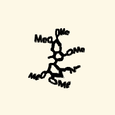 C/N=C/c1cc(OC)c(OC)cc1-c1cc(OC)c2cc(OC)c(OC)cc2c1C